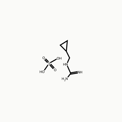 N=C(N)NCC1CC1.O=S(=O)(O)O